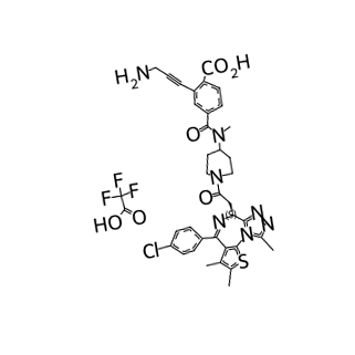 Cc1sc2c(c1C)C(c1ccc(Cl)cc1)=N[C@@H](CC(=O)N1CCC(N(C)C(=O)c3ccc(C(=O)O)c(C#CCN)c3)CC1)c1nnc(C)n1-2.O=C(O)C(F)(F)F